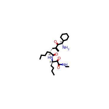 C=C(C[C@@H](CCCC)C(=O)N[C@H](CCCC)C(=O)C(=O)NCC)C(=O)[C@@H](N)C1CCCCC1